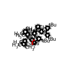 CC(C)(C)c1ccc(N(c2ccc(C(C)(C)C)cc2)c2ccc3c(c2)C2(C)CCCCC2(C)N3c2ccc3c(c2)N(c2ccc(C(C)(C)C)cc2-c2ccccc2)c2cc(C(C)(C)C)cc4c2B3c2cc3c(cc2N4c2ccc4c(c2)C(C)(C)CCC4(C)C)C(C)(C)CCC3(C)C)cc1